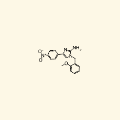 COc1ccccc1Cn1cc(-c2ccc([N+](=O)[O-])cc2)nc1N